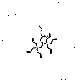 C=CC[N+](CC=C)(CC=C)CC(CC(=O)OCC)[N+](CC=C)(CC=C)CC=C